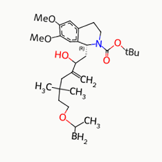 BC(C)OCCC(C)(C)CC(=C)C(O)C[C@@H]1c2cc(OC)c(OC)cc2CCN1C(=O)OC(C)(C)C